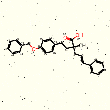 CC(CC=Cc1ccccc1)(CCc1ccc(OCc2ccccc2)cc1)C(=O)O